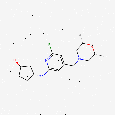 C[C@@H]1CN(Cc2cc(Br)nc(N[C@@H]3CC[C@@H](O)C3)c2)C[C@H](C)O1